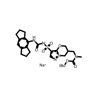 CN(CC1COc2c(S(=O)(=O)[N-]C(=O)Nc3c4c(cc5c3CCC5)CCC4)cnn2C1)C(=O)OC(C)(C)C.[Na+]